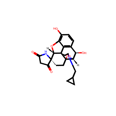 O=C1CC(=O)[C@@]2(CC[C@@]3(O)[C@H]4[C@H](O)c5ccc(O)c6c5[C@@]3(CCN4CC3CC3)[C@H]2O6)N1